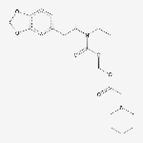 CCN(C(=O)OCOC(=O)CN1CCCCC1)C(C)Cc1ccc2c(c1)OCO2